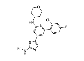 CC(C)Nc1ncc(-c2cc(-c3ccc(F)cc3Cl)nc(NC3CCOCC3)n2)s1